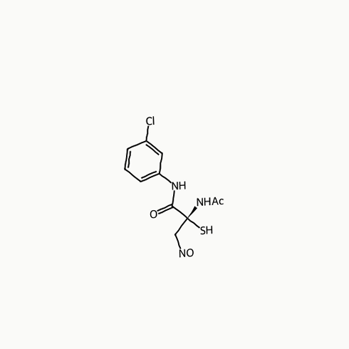 CC(=O)N[C@@](S)(CN=O)C(=O)Nc1cccc(Cl)c1